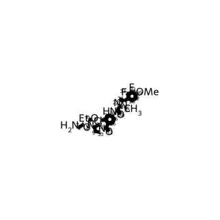 CCC(=O)N(OCCN)C1CCN(C(=O)c2ccc(NC(=O)c3ncc(-c4ccc(OC)c(F)c4F)n3C)cc2Cl)C1